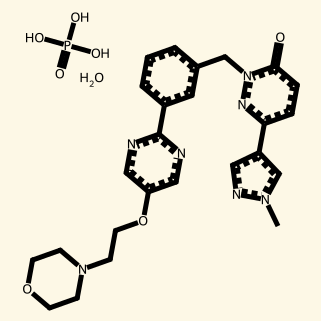 Cn1cc(-c2ccc(=O)n(Cc3cccc(-c4ncc(OCCN5CCOCC5)cn4)c3)n2)cn1.O.O=P(O)(O)O